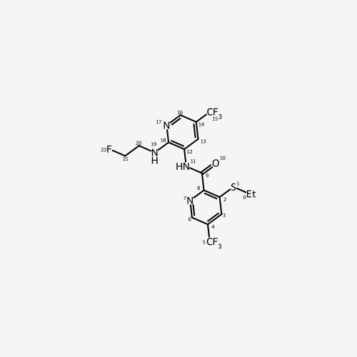 CCSc1cc(C(F)(F)F)cnc1C(=O)Nc1cc(C(F)(F)F)cnc1NCCF